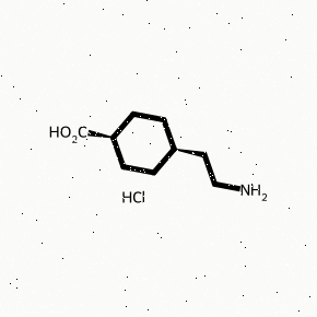 Cl.NCC[C@H]1CC[C@@H](C(=O)O)CC1